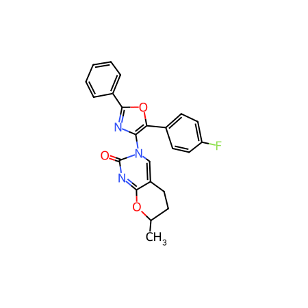 CC1CCc2cn(-c3nc(-c4ccccc4)oc3-c3ccc(F)cc3)c(=O)nc2O1